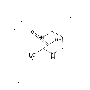 CC12NCC(CN1)NC2=O